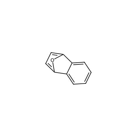 c1ccc2c3ccc(o3)c2c1